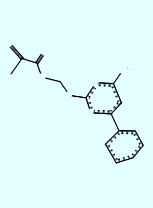 C=C(C)C(=O)OCSc1nc(OC)cc(-c2ccccc2)n1